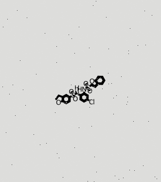 O=S(=O)(Nc1ccc(Cl)cc1NS(=O)(=O)c1cc2ccccc2o1)c1ccc2c(c1)CCO2